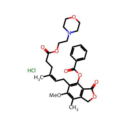 COc1c(C)c2c(c(OC(=O)c3ccccc3)c1CC=C(C)CCC(=O)OCCN1CCOCC1)C(=O)OC2.Cl